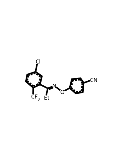 CC/C(=N\Oc1ccc(C#N)cc1)c1cc(Cl)ccc1C(F)(F)F